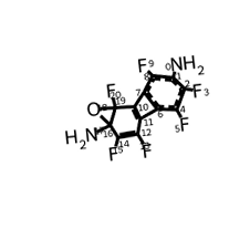 Nc1c(F)c(F)c2c(c1F)C1=C2C(F)=C(F)C2(N)OC12F